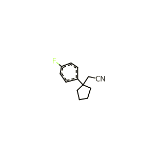 N#CCC1(c2ccc(F)cc2)CCCC1